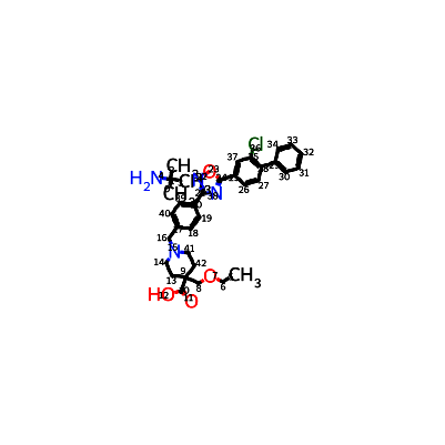 CC(C)(C)N.CCOCC1(C(=O)O)CCN(Cc2ccc(-c3noc(-c4ccc(-c5ccccc5)c(Cl)c4)n3)cc2)CC1